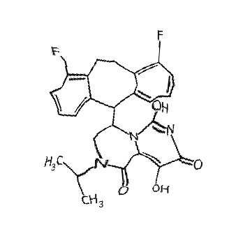 CC(C)N1CC(C2c3cccc(F)c3CCc3c(F)cccc32)n2c(O)nc(=O)c(O)c2C1=O